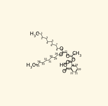 CCCCCCCCCOC(COC(C)OC(=O)c1ccccc1C(=O)O)OCCCCCCCCC